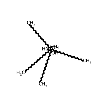 CCCCCCCCCCCCCCCCCCC(O)C(C(O)CCCCCCCCCCCCCCCCCC)(C(O)CCCCCCCCCCCCCCCCCC)C(O)CCCCCCCCCCCCCCCCCC